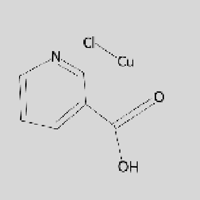 O=C(O)c1cccnc1.[Cl][Cu]